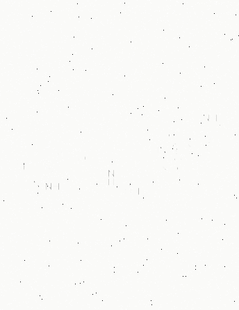 Nc1cccc(S(=O)(=O)Nc2cc([C@@H](O)CNCCOc3ccc4c(Cl)n[nH]c4c3)ccc2Cl)c1